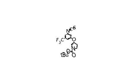 CC(C)(C)OC(=O)N1CC[C@@H](Oc2cc(N=C=S)cc(C(F)(F)F)c2)C1